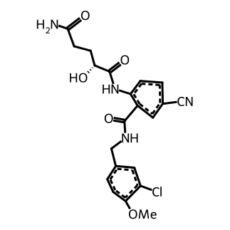 COc1ccc(CNC(=O)c2cc(C#N)ccc2NC(=O)[C@H](O)CCC(N)=O)cc1Cl